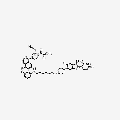 C=C(Cl)C(=O)N1CCN(c2ncnc3c(F)c(-c4c(F)cccc4OCCCCCCCN4CCC(c5cc6c(cc5F)C(=O)N(C5CCC(=O)NC5=O)C6)CC4)c(Cl)cc23)C[C@H]1CC#N